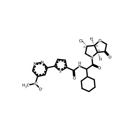 C[S+]([O-])c1cnnc(-c2ccc(C(=O)NC(C(=O)N3C[C@H](Cl)[C@H]4OCC(=O)[C@H]43)C3CCCCC3)s2)c1